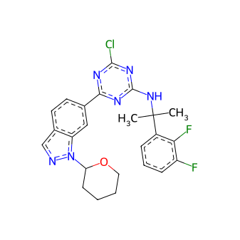 CC(C)(Nc1nc(Cl)nc(-c2ccc3cnn(C4CCCCO4)c3c2)n1)c1cccc(F)c1F